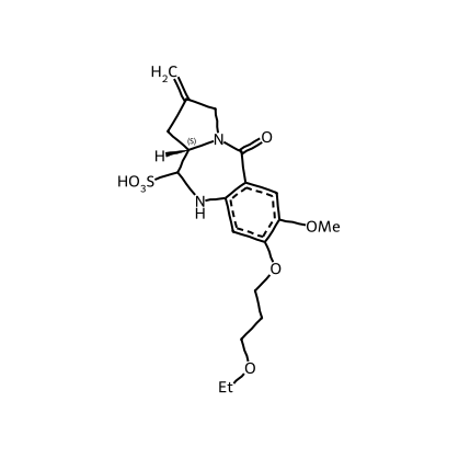 C=C1C[C@H]2C(S(=O)(=O)O)Nc3cc(OCCCOCC)c(OC)cc3C(=O)N2C1